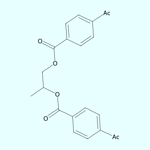 CC(=O)c1ccc(C(=O)OCC(C)OC(=O)c2ccc(C(C)=O)cc2)cc1